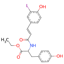 CCOC(=O)C(Cc1ccc(O)cc1)NC(=O)/C=C/c1ccc(O)c(I)c1